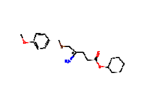 COc1ccc(CSC[C@H](N)CCC(=O)OC2CCCCC2)cc1